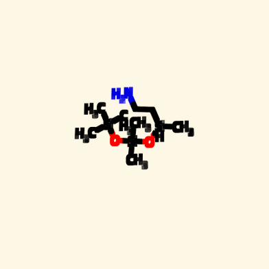 C[SiH](CCN)O[Si](C)(C)O[Si](C)(C)C